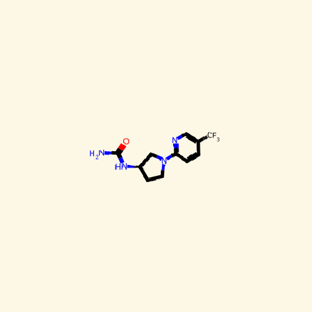 NC(=O)N[C@@H]1CCN(c2ccc(C(F)(F)F)cn2)C1